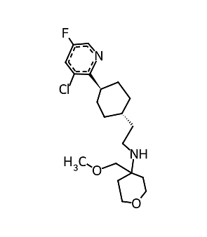 COCC1(NCC[C@H]2CC[C@H](c3ncc(F)cc3Cl)CC2)CCOCC1